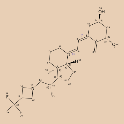 C=C1/C(=C\C=C2/CCC[C@]3(C)[C@@H]([C@H](C)CN4CC(C(C)(F)F)C4)CC[C@@H]23)C[C@@H](O)C[C@@H]1O